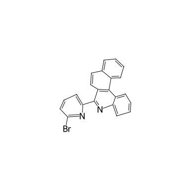 Brc1cccc(-c2nc3ccccc3c3c2ccc2ccccc23)n1